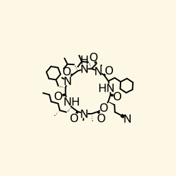 CCCC[C@@H](C)C[C@@H]1NC(=O)[C@H](CC2CCCCC2)N(C)C(=O)[C@H](CC(C)C)N[C@](C=O)(CC(C)C)N(C)C(=O)C(CC2CCCCC2)NC(=O)[C@@H](CCC#N)OC(=O)[C@H](C)N(C)C1=O